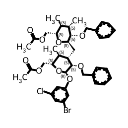 CC(=O)OC[C@H]1O[C@H](C[C@H]2[C@H](C)[C@@H](COC(C)=O)O[C@H](Oc3cc(Cl)cc(Br)c3)[C@H]2OCc2ccccc2)[C@@H](OCc2ccccc2)[C@@H](C)[C@@H]1C